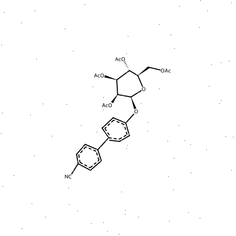 CC(=O)OC[C@H]1O[C@@H](Oc2ccc(-c3ccc(C#N)cc3)cc2)[C@@H](OC(C)=O)[C@@H](OC(C)=O)[C@@H]1OC(C)=O